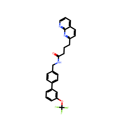 O=C(CCCc1ccc2cccnc2n1)NCc1ccc(-c2cccc(OC(F)(F)F)c2)cc1